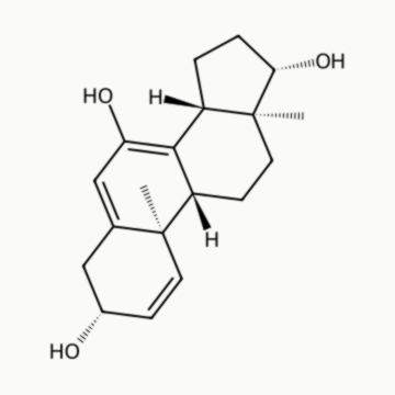 C[C@]12CC[C@H]3C(=C(O)C=C4C[C@@H](O)C=C[C@@]43C)[C@@H]1CC[C@@H]2O